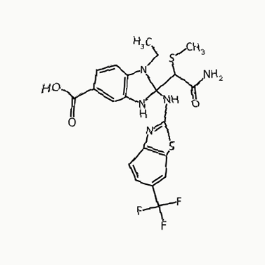 CCN1c2ccc(C(=O)O)cc2NC1(Nc1nc2ccc(C(F)(F)F)cc2s1)C(SC)C(N)=O